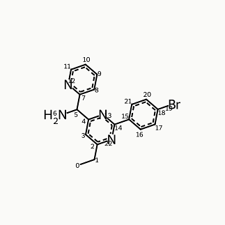 CCc1cc(C(N)c2ccccn2)nc(-c2ccc(Br)cc2)n1